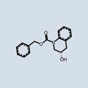 O=C(OCc1ccccc1)N1C[C@@H](O)Cc2ccccc21